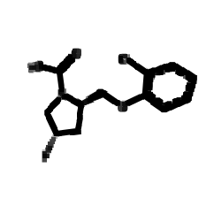 O=C(O)N1C[C@@H](F)C[C@@H]1COc1ccccc1Cl